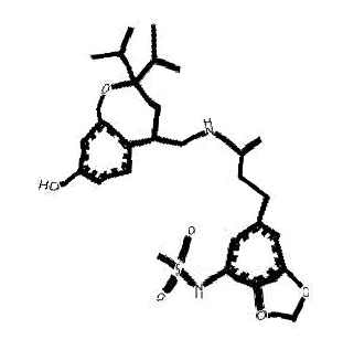 CC(CCc1cc(NS(C)(=O)=O)c2c(c1)OCO2)NCC1CC(C(C)C)(C(C)C)Oc2cc(O)ccc21